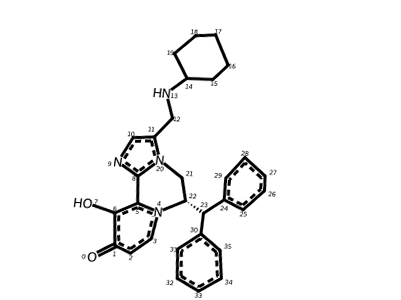 O=c1ccn2c(c1O)-c1ncc(CNC3CCCCC3)n1C[C@@H]2C(c1ccccc1)c1ccccc1